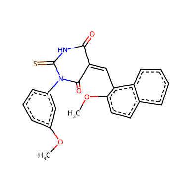 COc1cccc(N2C(=O)/C(=C\c3c(OC)ccc4ccccc34)C(=O)NC2=S)c1